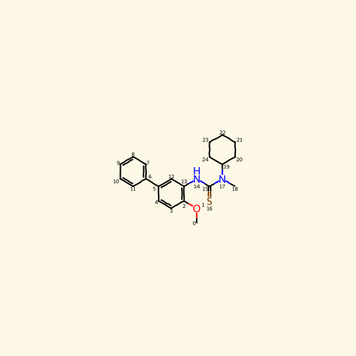 COc1ccc(-c2ccccc2)cc1NC(=S)N(C)C1CCCCC1